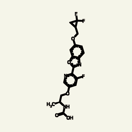 C[C@@H](COc1cnc(-c2nc3ccc(OCC4CC4(F)F)cc3o2)c(F)c1)NC(=O)O